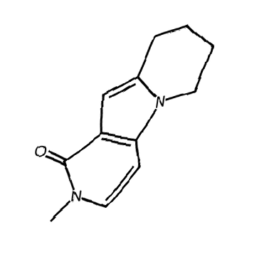 Cn1ccc2c(cc3n2CCCC3)c1=O